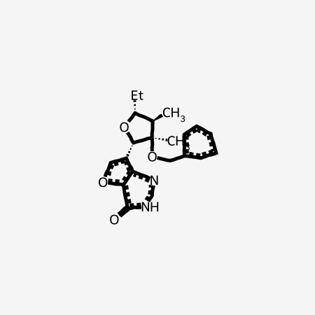 CC[C@H]1O[C@@H](c2coc3c(=O)[nH]cnc23)[C@](C)(OCc2ccccc2)[C@@H]1C